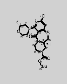 C[C@@H]1CN(c2nc(Cl)cc3c2C(=O)N2CCN(C(=O)OC(C)(C)C)C[C@@H]2CO3)CCO1